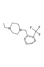 CCN1CCN(Cc2ccccc2C(F)(F)F)CC1